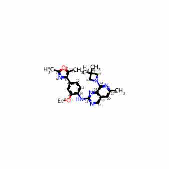 CCOc1cc(-c2nc(C)oc2C)ccc1Nc1ncc2cc(C)nc(N3CC(C)(C)C3)c2n1